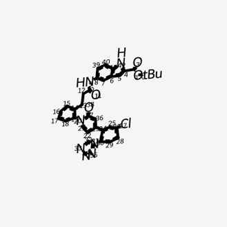 CC(C)(C)OC(=O)c1cc2cc(NC(=O)CCc3ccccc3-n3ccc(-c4cc(Cl)ccc4-n4cnnn4)cc3=O)ccc2[nH]1